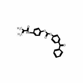 C=C(C)C(=O)Nc1ccc(OC(=O)Oc2ccc(C(=O)c3ccccc3)cc2)cc1